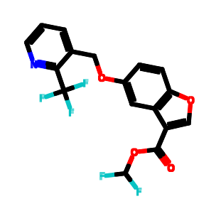 O=C(OC(F)F)c1coc2ccc(OCc3cccnc3C(F)(F)F)cc12